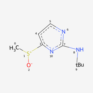 C[S+]([O-])c1ccnc(NC(C)(C)C)n1